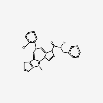 CCN(Cc1ccccc1)C(=O)N1N=CN2C1=CN(c1ccccc1Cl)C=C1C3=C(C=CC3)S(C)=C12